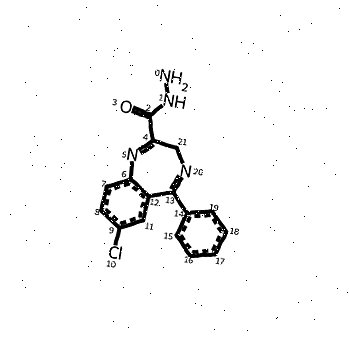 NNC(=O)C1=Nc2ccc(Cl)cc2C(c2ccccc2)=NC1